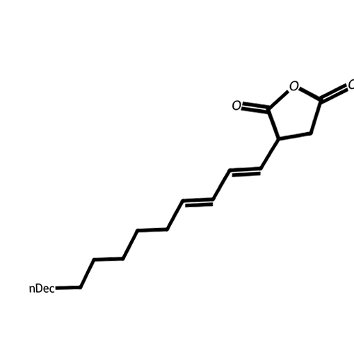 CCCCCCCCCCCCCCCC=CC=CC1CC(=O)OC1=O